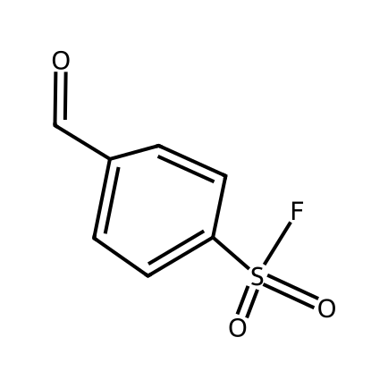 O=Cc1ccc(S(=O)(=O)F)cc1